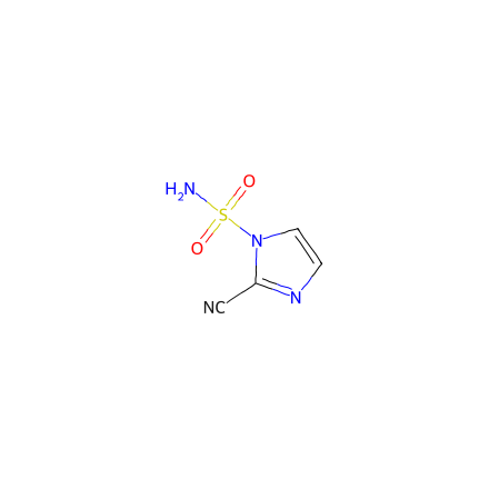 N#Cc1nccn1S(N)(=O)=O